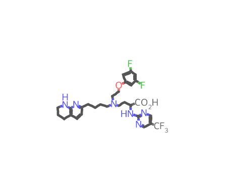 O=C(O)C(CCN(CCCCc1ccc2c(n1)NCCC2)CCOc1cc(F)cc(F)c1)Nc1ncc(C(F)(F)F)cn1